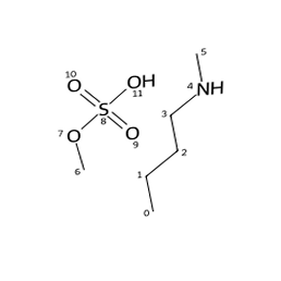 CCCCNC.COS(=O)(=O)O